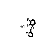 CN1CCCC1COc1cccc(F)c1F.Cl